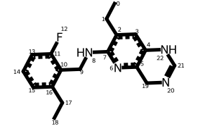 CCc1cc2c(nc1NCc1c(F)cccc1CC)CN=CN2